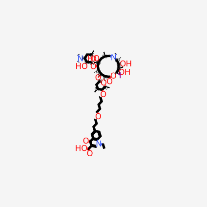 CCn1cc(C(=O)O)c(=O)c2cc(CCCOCCCCCOC3[C@H](C)O[C@@H](O[C@H]4[C@H](C)C(O[C@@H]5O[C@H](C)C[C@H](N(C)C)[C@H]5O)[C@](C)(O)C[C@@H](C)CN(C)[C@H](C)[C@@H](O)[C@](C)(O)[C@@H](I)OC(=O)[C@@H]4C)C[C@@H]3C)ccc21